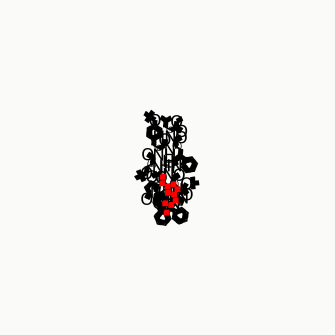 COC(=O)[C@H](CC(C)C)NC(=O)[C@@H](Cc1c[nH]c2ccccc12)NC(=O)[C@H](Cc1ccc(OC(C)(C)C)cc1)NC(=O)[C@H](COC(C)(C)C)NC(=O)[C@H](Cc1cn(C(=O)OC(C)(C)C)c2ccccc12)NC(=O)[C@H](Cc1cn(C(c2ccccc2)(c2ccccc2)c2ccccc2)cn1)NC(=O)[C@@H]1CCC(=O)N1C(=O)OC(C)(C)C